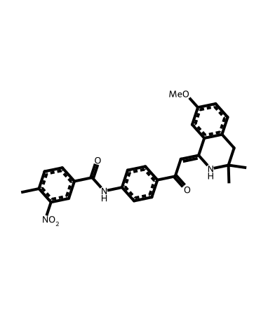 COc1ccc2c(c1)/C(=C/C(=O)c1ccc(NC(=O)c3ccc(C)c([N+](=O)[O-])c3)cc1)NC(C)(C)C2